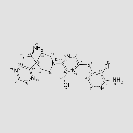 Nc1nccc(Sc2cnc(N3CCC4(CC3)c3nccnc3C[C@H]4N)c(CO)n2)c1Cl